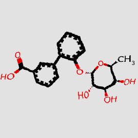 C[C@@H]1O[C@@H](Oc2ccccc2-c2cccc(C(=O)O)c2)[C@@H](O)[C@H](O)[C@@H]1O